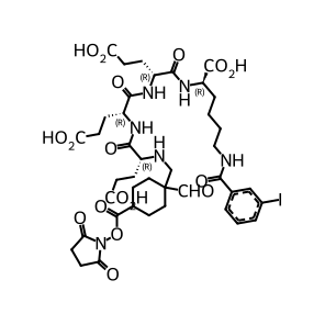 O=CC1(CN[C@H](CCC(=O)O)C(=O)N[C@H](CCC(=O)O)C(=O)N[C@H](CCC(=O)O)C(=O)N[C@H](CCCCNC(=O)c2cccc(I)c2)C(=O)O)CCC(C(=O)ON2C(=O)CCC2=O)CC1